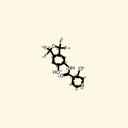 O=C(Nc1cc2c(cc1O)C(F)(F)OC2(F)F)c1ccncc1Cl